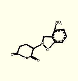 O=C1CCC(N2Cc3c(cccc3[N+](=O)[O-])O2)C(=O)N1